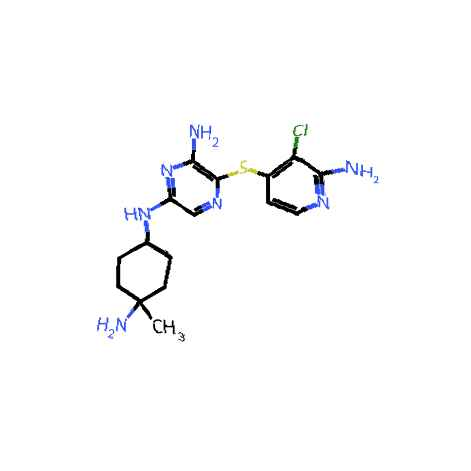 CC1(N)CCC(Nc2cnc(Sc3ccnc(N)c3Cl)c(N)n2)CC1